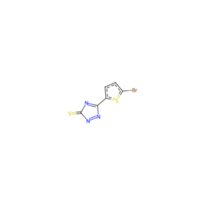 S=C1N=NC(c2ccc(Br)s2)=N1